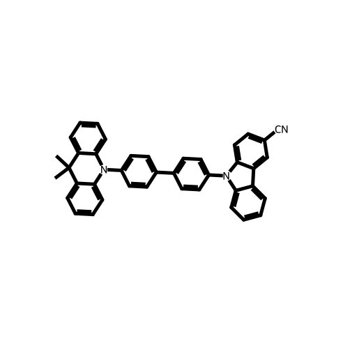 CC1(C)c2ccccc2N(c2ccc(-c3ccc(-n4c5ccccc5c5cc(C#N)ccc54)cc3)cc2)c2ccccc21